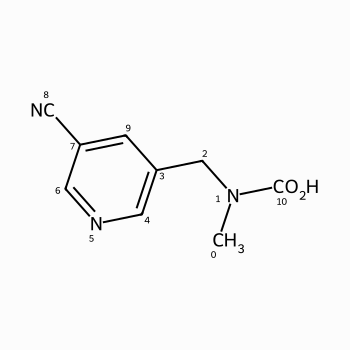 CN(Cc1cncc(C#N)c1)C(=O)O